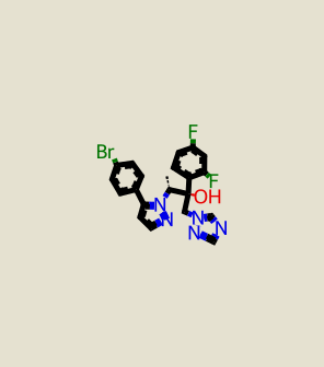 C[C@@H](n1nccc1-c1ccc(Br)cc1)[C@](O)(Cn1cncn1)c1ccc(F)cc1F